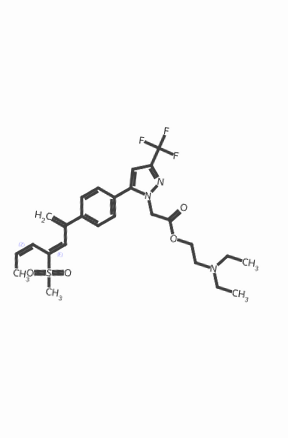 C=C(/C=C(\C=C/C)S(C)(=O)=O)c1ccc(-c2cc(C(F)(F)F)nn2CC(=O)OCCN(CC)CC)cc1